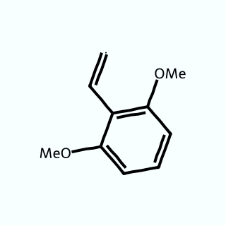 [CH]=Cc1c(OC)cccc1OC